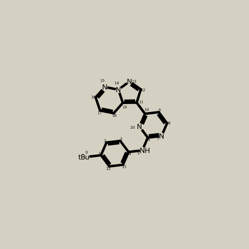 CC(C)(C)c1ccc(Nc2nccc(-c3cnn4ncccc34)n2)cc1